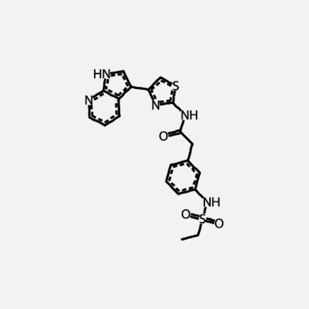 CCS(=O)(=O)Nc1cccc(CC(=O)Nc2nc(-c3c[nH]c4ncccc34)cs2)c1